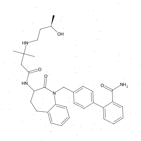 C[C@@H](O)CCNC(C)(C)CC(=O)NC1CCc2ccccc2N(Cc2ccc(-c3ccccc3C(N)=O)cc2)C1=O